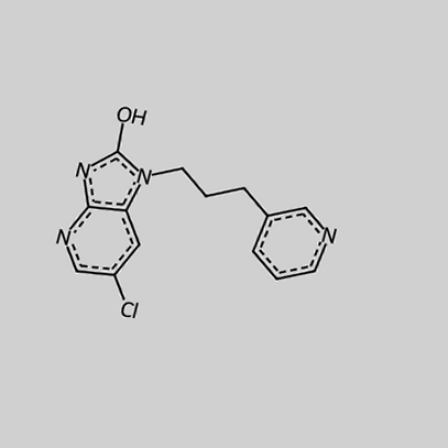 Oc1nc2ncc(Cl)cc2n1CCCc1cccnc1